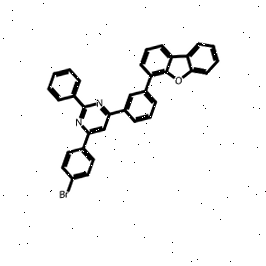 Brc1ccc(-c2cc(-c3cccc(-c4cccc5c4oc4ccccc45)c3)nc(-c3ccccc3)n2)cc1